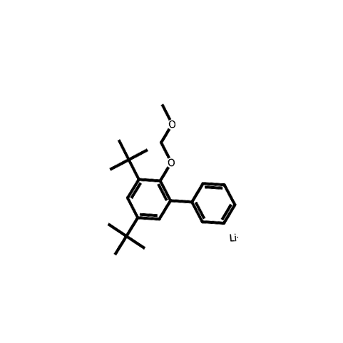 COCOc1c(-c2ccccc2)cc(C(C)(C)C)cc1C(C)(C)C.[Li]